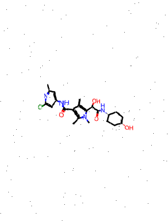 Cc1cc(NC(=O)c2c(C)c(C(O)C(=O)N[C@H]3CC[C@@H](O)CC3)n(C)c2C)cc(Cl)n1